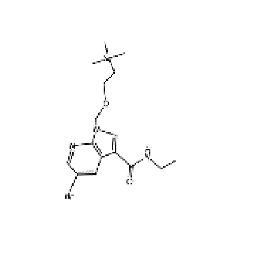 CCNC(=O)c1cn(COCC[Si](C)(C)C)c2ncc(Br)cc12